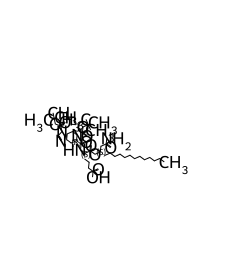 CCCCCCCCCCCCC[C@@H](CC(N)=O)OC(=O)[C@H](CCCC(=O)O)NC(=O)[C@H]1Cc2ncn(C(=O)OC(C)(C)C)c2CN1C(=O)OC(C)(C)C